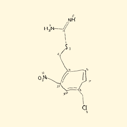 N=C(N)SCc1ccc(Cl)cc1[N+](=O)[O-]